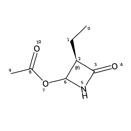 CC[C@H]1C(=O)NC1OC(C)=O